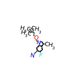 Cc1cn(COCC[Si](C)(C)C)c2cc(C#N)c(F)cc12